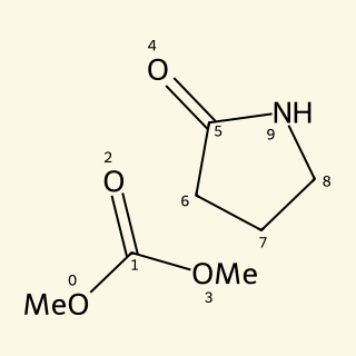 COC(=O)OC.O=C1CCCN1